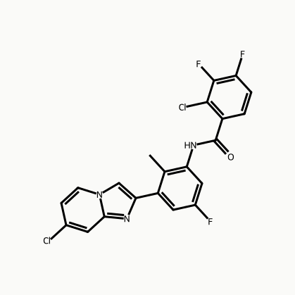 Cc1c(NC(=O)c2ccc(F)c(F)c2Cl)cc(F)cc1-c1cn2ccc(Cl)cc2n1